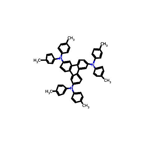 Cc1ccc(N(c2ccc(C)cc2)c2ccc3c(c2)c2ccc(N(c4ccc(C)cc4)c4ccc(C)cc4)cc2c2ccc(N(c4ccc(C)cc4)c4ccc(C)cc4)cc32)cc1